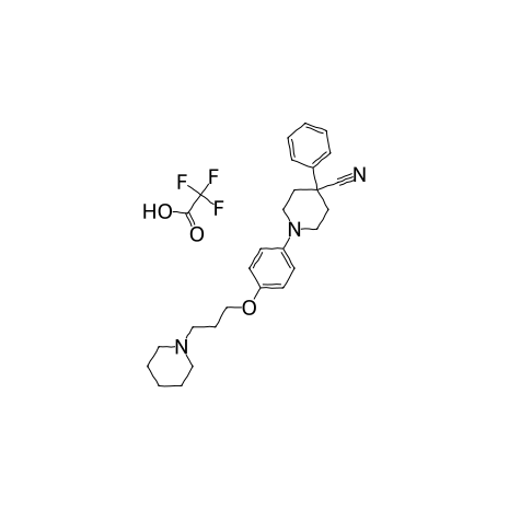 N#CC1(c2ccccc2)CCN(c2ccc(OCCCN3CCCCC3)cc2)CC1.O=C(O)C(F)(F)F